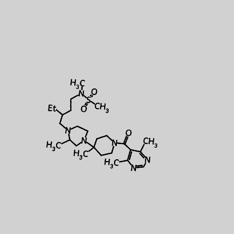 CCC(CCN(C)S(C)(=O)=O)CN1CCN(C2(C)CCN(C(=O)c3c(C)ncnc3C)CC2)CC1C